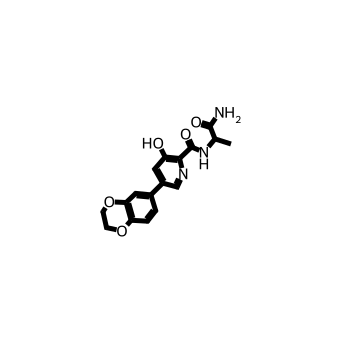 CC(NC(=O)c1ncc(-c2ccc3c(c2)OCCO3)cc1O)C(N)=O